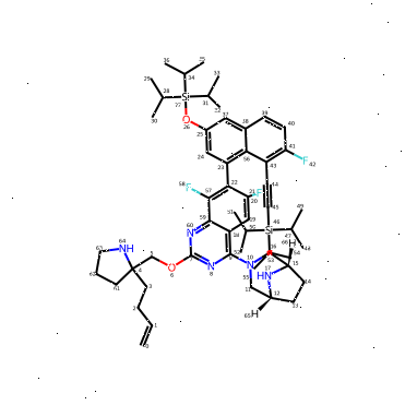 C=CCCC1(COc2nc(N3C[C@H]4CC[C@@H](C3)N4)c3cc(F)c(-c4cc(O[Si](C(C)C)(C(C)C)C(C)C)cc5ccc(F)c(C#C[Si](C(C)C)(C(C)C)C(C)C)c45)c(F)c3n2)CCCN1